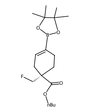 CCCCOC(=O)[C@@]1(CF)CC=C(B2OC(C)(C)C(C)(C)O2)CC1